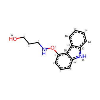 OCCCNOc1cccc2[nH]c3ccccc3c12